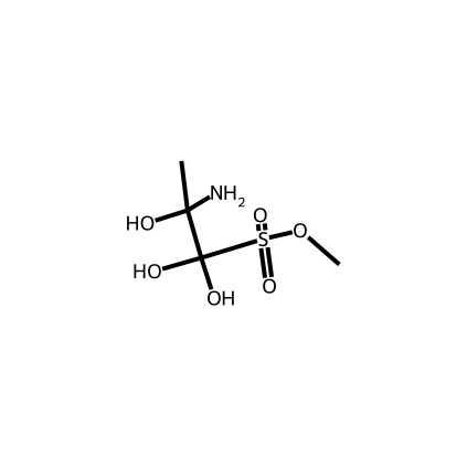 COS(=O)(=O)C(O)(O)C(C)(N)O